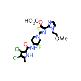 COCCn1ccnc1-c1nc(N2CC[C@@H](NC(=O)c3[nH]c(C)c(Cl)c3Cl)[C@@H](F)C2)sc1OC(=O)O